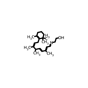 CC(C=CC(C)C(C)=CCC1=C(C)CCCC1(C)C)=CC=NCCO